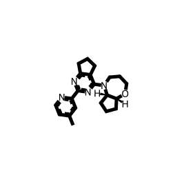 Cc1ccnc(-c2nc3c(c(N4CCCO[C@@H]5CCC[C@@H]54)n2)CCC3)c1